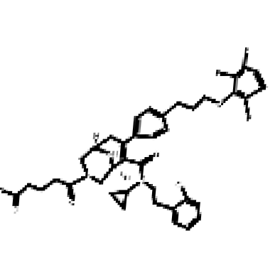 NC(=O)CCCC(=O)N1C[C@H]2CC(c3ccc(CCCOc4c(F)ccc(F)c4F)cc3)=C(C(=O)N(CCc3ccccc3Cl)C3CC3)[C@@H](C1)N2